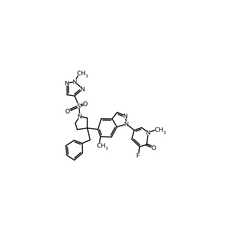 Cc1cc2c(cnn2-c2cc(F)c(=O)n(C)c2)cc1C1(Cc2ccccc2)CCN(S(=O)(=O)c2cnn(C)n2)C1